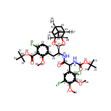 COc1c(F)cc(C(NC(=O)OC(C)(C)C)C(=O)NC(Cc2ccc(F)c(C(=O)OC(C)(C)C)c2OC)B2O[C@@H]3C[C@@H]4C[C@@H](C4(C)C)[C@]3(C)O2)c(Cl)c1OC